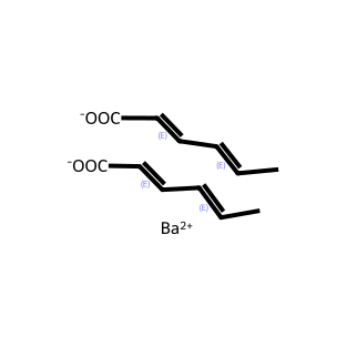 C/C=C/C=C/C(=O)[O-].C/C=C/C=C/C(=O)[O-].[Ba+2]